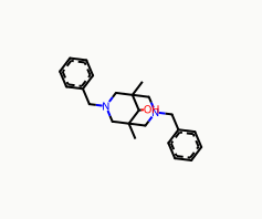 CC12CN(Cc3ccccc3)CC(C)(CN(Cc3ccccc3)C1)C2O